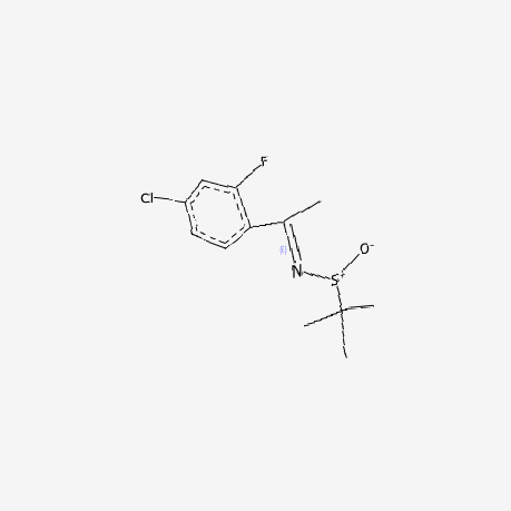 C/C(=N\[S+]([O-])C(C)(C)C)c1ccc(Cl)cc1F